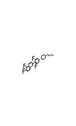 CCCC[C@H]1CC[C@H](c2cc(F)c(-c3ccc4c(F)c(F)ccc4c3)c(F)c2)CC1